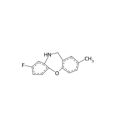 Cc1ccc2c(c1)CNc1cc(F)ccc1O2